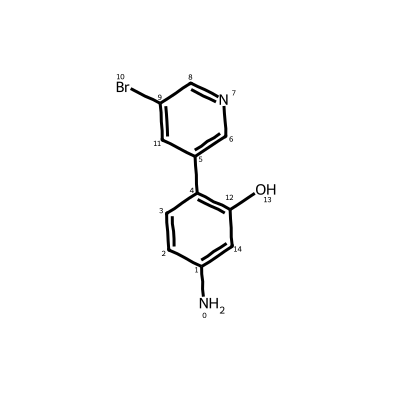 Nc1ccc(-c2cncc(Br)c2)c(O)c1